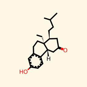 CC[C@@]12CCc3cc(O)ccc3[C@H]1CC(=O)C[C@@H]2CCC(C)C